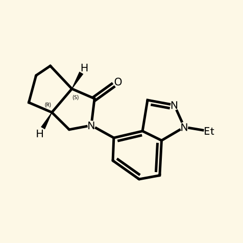 CCn1ncc2c(N3C[C@@H]4CCC[C@@H]4C3=O)cccc21